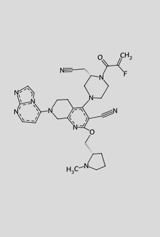 C=C(F)C(=O)N1CCN(c2c(C#N)c(OC[C@@H]3CCCN3C)nc3c2CCN(c2ccnc4nccn24)C3)C[C@@H]1CC#N